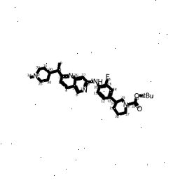 CC(c1ccc2cnc(Nc3ccc(C4CCCN(C(=O)OC(C)(C)C)C4)cc3F)cc2n1)C1CCN(C)CC1